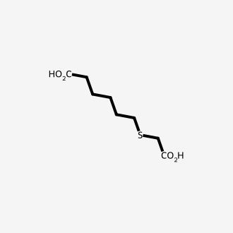 O=C(O)CCCCCSCC(=O)O